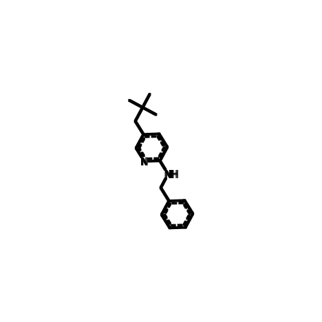 CC(C)(C)Cc1ccc(NCc2ccccc2)nc1